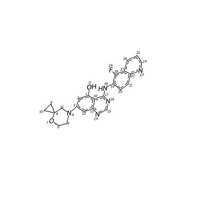 Oc1cc(N2CCOC3(CC3)C2)cc2ncnc(Nc3ccc4ncccc4c3F)c12